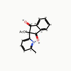 CC(=O)OC1(c2cccc(C)n2)C(=O)c2ccccc2C1=O